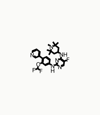 CN1C(C)(C)CC(Nc2nc(Nc3ccc(-c4cccnc4)c(OC(F)F)c3)ncc2F)CC1(C)C